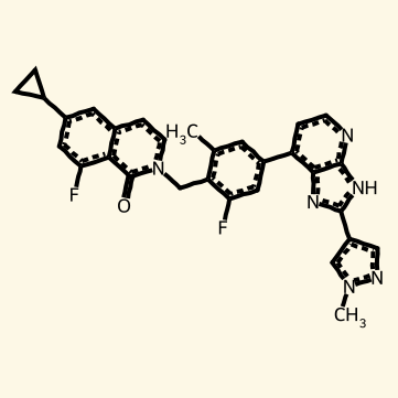 Cc1cc(-c2ccnc3[nH]c(-c4cnn(C)c4)nc23)cc(F)c1Cn1ccc2cc(C3CC3)cc(F)c2c1=O